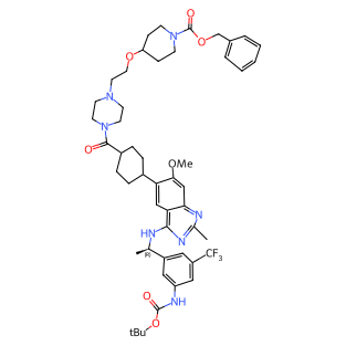 COc1cc2nc(C)nc(N[C@H](C)c3cc(NC(=O)OC(C)(C)C)cc(C(F)(F)F)c3)c2cc1C1CCC(C(=O)N2CCN(CCOC3CCN(C(=O)OCc4ccccc4)CC3)CC2)CC1